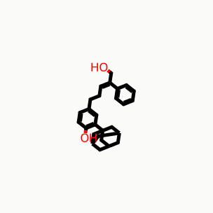 OC/C(=C/CCc1ccc(O)c(C23CC4CC(CC(C4)C2)C3)c1)c1ccccc1